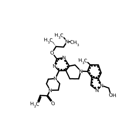 C=CC(=O)N1CCN(c2nc(O[C@H](C)CN(C)C)nc3c2CCN(c2c(C)ccc4c2cnn4CO)C3)CC1